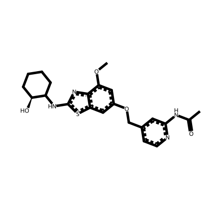 COc1cc(OCc2ccnc(NC(C)=O)c2)cc2sc(NC3CCCC[C@@H]3O)nc12